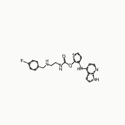 O=C(NCCNCc1ccc(F)cc1)Oc1sccc1Nc1ccnc2[nH]ccc12